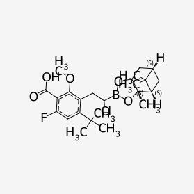 COc1c(CC(Cl)B2OC3C[C@@H]4C[C@@H](C4(C)C)[C@]3(C)O2)c(C(C)(C)C)cc(F)c1C(=O)O